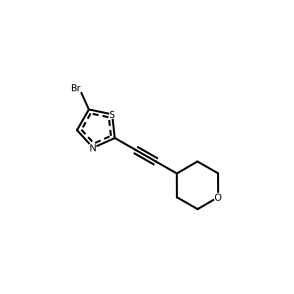 Brc1cnc(C#CC2CCOCC2)s1